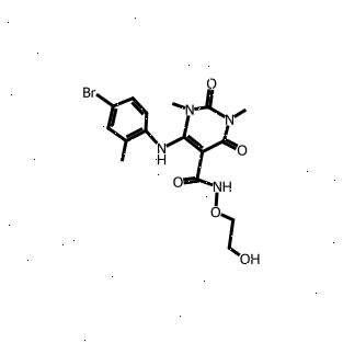 Cc1cc(Br)ccc1Nc1c(C(=O)NOCCO)c(=O)n(C)c(=O)n1C